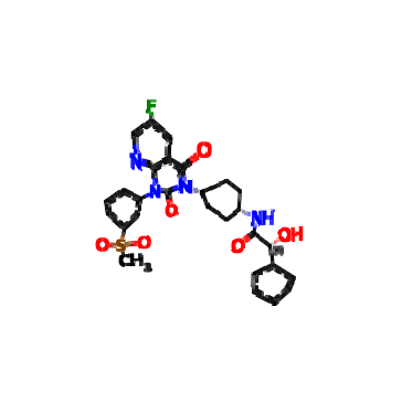 CS(=O)(=O)c1cccc(-n2c(=O)n([C@H]3CC[C@@H](NC(=O)[C@H](O)c4ccccc4)CC3)c(=O)c3cc(F)cnc32)c1